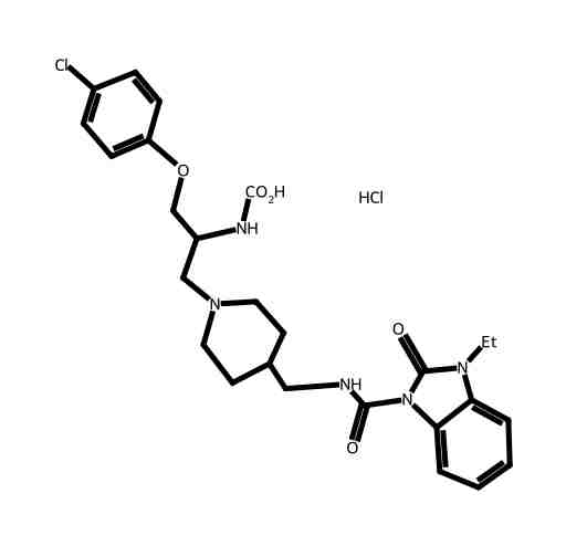 CCn1c(=O)n(C(=O)NCC2CCN(CC(COc3ccc(Cl)cc3)NC(=O)O)CC2)c2ccccc21.Cl